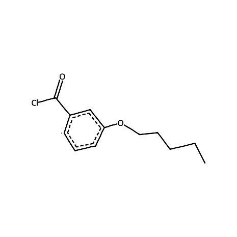 CCCCCOc1cc[c]c(C(=O)Cl)c1